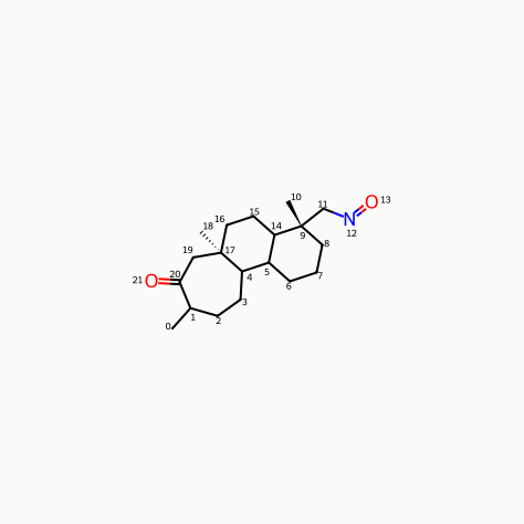 CC1CCC2C3CCC[C@@](C)(CN=O)C3CC[C@]2(C)CC1=O